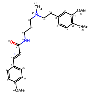 COc1ccc(/C=C/C(=O)NCCCN(C)CCc2ccc(OC)c(OC)c2)cc1